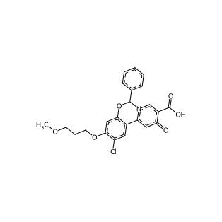 COCCCOc1cc2c(cc1Cl)-c1cc(=O)c(C(=O)O)cn1C(c1ccccc1)O2